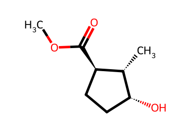 COC(=O)[C@@H]1CC[C@@H](O)[C@H]1C